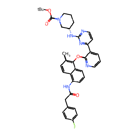 Cc1ccc2c(NC(=O)Cc3ccc(F)cc3)cccc2c1Oc1ncccc1-c1ccnc(N[C@H]2CCCN(C(=O)OC(C)(C)C)C2)n1